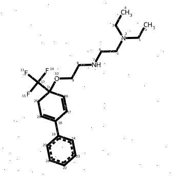 CCN(CC)CCNCCOC1(C(F)(F)F)C=CC(c2ccccc2)=CC1